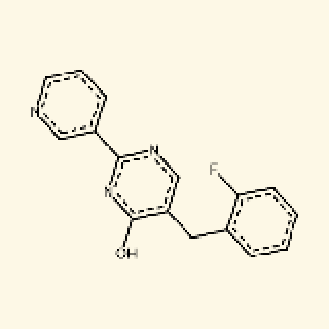 Oc1nc(-c2cccnc2)ncc1Cc1ccccc1F